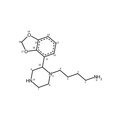 NCCCCN1CCNCC1c1cccc2c1OCO2